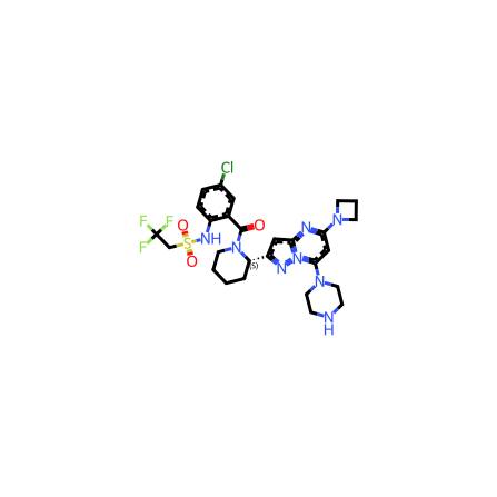 O=C(c1cc(Cl)ccc1NS(=O)(=O)CC(F)(F)F)N1CCCC[C@H]1c1cc2nc(N3CCC3)cc(N3CCNCC3)n2n1